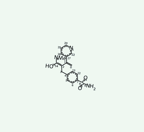 C=C(/C(Cc1ccc(S(N)(=O)=O)cc1)=C(/O)NC)c1cccnc1